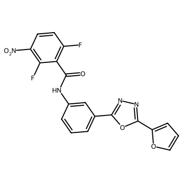 O=C(Nc1cccc(-c2nnc(-c3ccco3)o2)c1)c1c(F)ccc([N+](=O)[O-])c1F